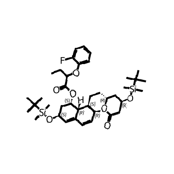 CCC(Oc1ccccc1F)C(=O)O[C@H]1C[C@H](O[Si](C)(C)C(C)(C)C)C=C2C=C[C@H](C)[C@H](CC[C@@H]3C[C@@H](O[Si](C)(C)C(C)(C)C)CC(=O)O3)[C@H]21